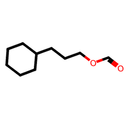 O=COCCCC1CCCCC1